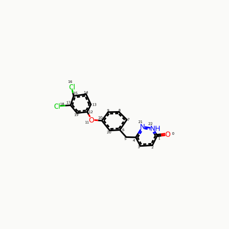 O=c1ccc(Cc2cccc(Oc3ccc(Cl)c(Cl)c3)c2)n[nH]1